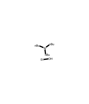 CCC[CH2][Al]([CH2]CCC)[CH2]CCC.CCO